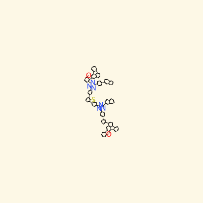 c1cc(-c2ccc(-c3nc(-c4ccc5ccccc5c4)nc(-c4ccc5c(c4)sc4c(-c6ccc(-c7nc(-c8ccc(-c9ccc%10ccccc%10c9)cc8)nc(-c8cccc9oc%10c%11c%12c(cccc%12cc%10c89)-c8ccccc8-%11)n7)cc6)cccc45)n3)cc2)cc(-c2ccc3c4c(c5oc6ccccc6c5cc24)-c2ccccc2-3)c1